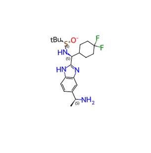 C[C@H](N)c1ccc2[nH]c([C@@H](N[S@+]([O-])C(C)(C)C)C3CCC(F)(F)CC3)nc2c1